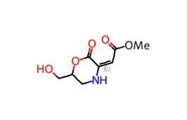 COC(=O)/C=C1/NCC(CO)OC1=O